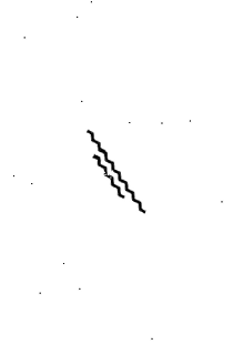 C=CCCCCCCCC.CCCCC=CCCCCCCCCCCCC